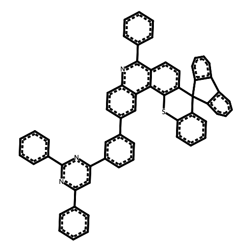 c1ccc(-c2cc(-c3cccc(-c4ccc5nc(-c6ccccc6)c6ccc7c(c6c5c4)Sc4ccccc4C74c5ccccc5-c5ccccc54)c3)nc(-c3ccccc3)n2)cc1